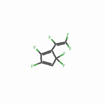 FC1=CC(F)(F)C(C(F)=C(F)F)=C1F